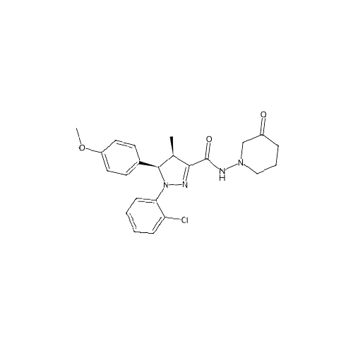 COc1ccc([C@H]2[C@@H](C)C(C(=O)NN3CCCC(=O)C3)=NN2c2ccccc2Cl)cc1